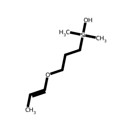 CC=COCCC[Si](C)(C)O